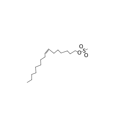 CCCCCCCC/C=C\CCCCCCOS(C)(=O)=O